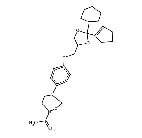 C=C(C)N1CCN(c2ccc(OCC3COC(C4=CC=CC4)(C4CCCCC4)O3)cc2)CC1